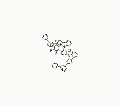 Fc1c(F)c(F)c(-c2ccc(-n3c4ccccc4c4ccc(-c5ccnc(-c6ccccc6)c5)cc43)c(C(F)(F)F)c2-n2c3ccccc3c3ccc(-c4ccnc(-c5ccccc5)c4)cc32)c(F)c1F